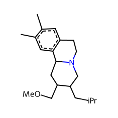 COCC1CC2c3cc(C)c(C)cc3CCN2CC1CC(C)C